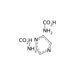 NC(=O)O.NC(=O)O.c1cnccn1